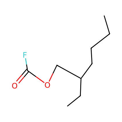 CCCCC(CC)COC(=O)F